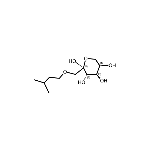 CC(C)CCOC[C@@]1(O)OC[C@@H](O)[C@@H](O)[C@@H]1O